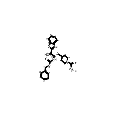 CC(C)(C)OC(=O)N1CCC(C[C@H](NC(=O)OCc2ccccc2)C(O)c2nc3ccccc3o2)CC1